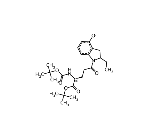 CCC1Cc2c([O])cccc2N1C(=O)CC[C@H](NC(=O)OC(C)(C)C)C(=O)OC(C)(C)C